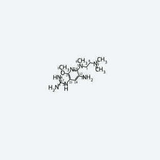 COc1nc(N(C)CCN(C)C)c(N)cc1NC(=N)N